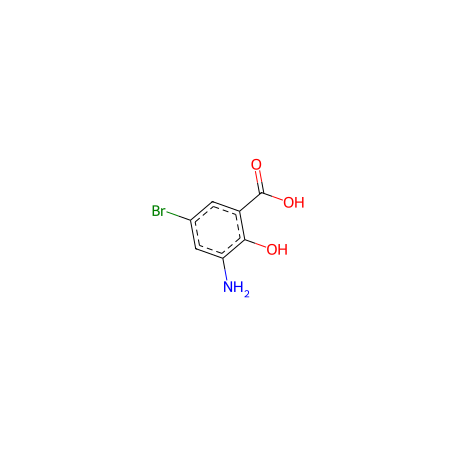 Nc1cc(Br)cc(C(=O)O)c1O